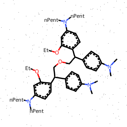 CCCCCN(CCCCC)c1ccc(C(COCC(c2ccc(N(C)C)cc2)c2ccc(N(CCCCC)CCCCC)cc2OCC)c2ccc(N(C)C)cc2)c(OCC)c1